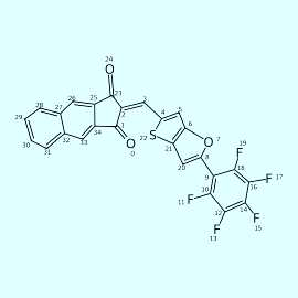 O=C1C(=Cc2cc3oc(-c4c(F)c(F)c(F)c(F)c4F)cc3s2)C(=O)c2cc3ccccc3cc21